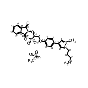 C[n+]1cc(-c2ccc(OCC(ON3C(=O)c4ccccc4C3=O)P(=O)(O)O)cc2)cn1CCCN.O=S(=O)([O-])C(F)(F)F